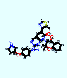 Cc1scnc1-c1cc2cnc(Nc3ccc(OC4CCNC4)cc3)nc2n(C2C(=O)c3ccccc3OC2(C)C)c1=O